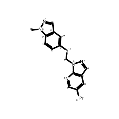 CC(C)c1cnc2c(cnn2CSc2ccc3c(cnn3C)c2)c1